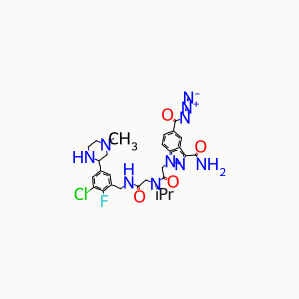 CC(C)N(CC(=O)NCc1cc(C2CN(C)CCN2)cc(Cl)c1F)C(=O)Cn1nc(C(N)=O)c2cc(C(=O)N=[N+]=[N-])ccc21